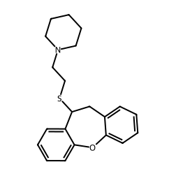 c1ccc2c(c1)CC(SCCN1CCCCC1)c1ccccc1O2